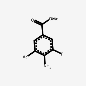 COC(=O)c1cc(F)c(N)c(C(C)=O)c1